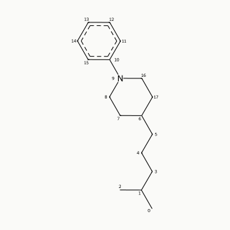 CC(C)CCCC1CCN(c2ccccc2)CC1